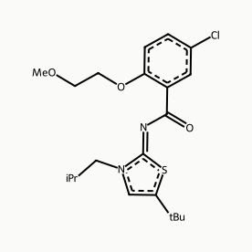 COCCOc1ccc(Cl)cc1C(=O)/N=c1\sc(C(C)(C)C)cn1CC(C)C